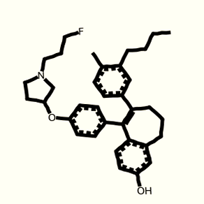 CCCCc1cc(C2=C(c3ccc(OC4CCN(CCCF)C4)cc3)c3ccc(O)cc3CCC2)ccc1C